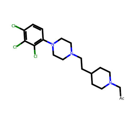 CC(=O)CN1CCC(CCN2CCN(c3ccc(Cl)c(Cl)c3Cl)CC2)CC1